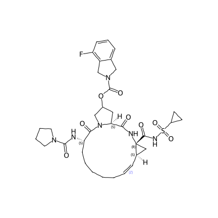 O=C1N[C@]2(C(=O)NS(=O)(=O)C3CC3)C[C@H]2/C=C\CCCCC[C@H](NC(=O)N2CCCC2)C(=O)N2CC(OC(=O)N3Cc4cccc(F)c4C3)C[C@@H]12